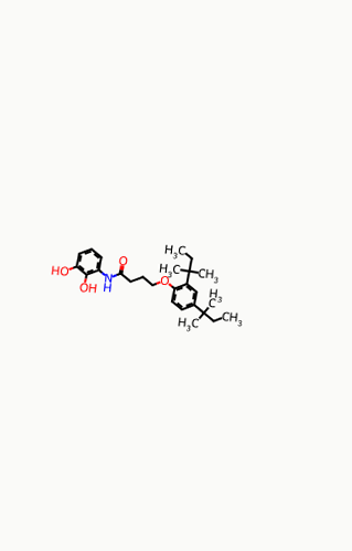 CCC(C)(C)c1ccc(OCCCC(=O)Nc2cccc(O)c2O)c(C(C)(C)CC)c1